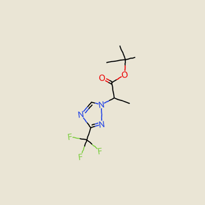 CC(C(=O)OC(C)(C)C)n1cnc(C(F)(F)F)n1